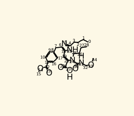 CCCCc1nc(Cc2ccc(C(=O)OC)cc2)c(/C=C(/C(=O)O)N(CCCC)C(=O)NCOC)[nH]1